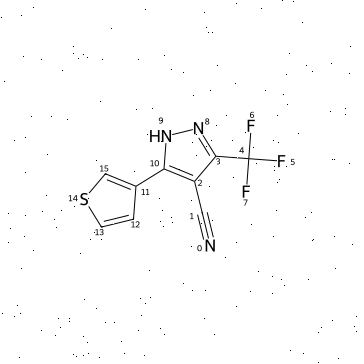 N#Cc1c(C(F)(F)F)n[nH]c1-c1ccsc1